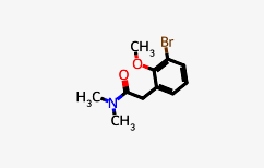 COc1c(Br)cccc1CC(=O)N(C)C